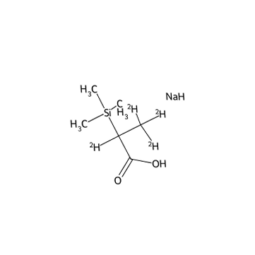 [2H]C([2H])([2H])C([2H])(C(=O)O)[Si](C)(C)C.[NaH]